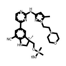 Cc1cc(Nc2nccc(-c3cc(C#N)c4c(c3)[C@@](C)(CO[Si](C)(C)C(C)(C)C)CN4)n2)nn1CCN1CCOCC1